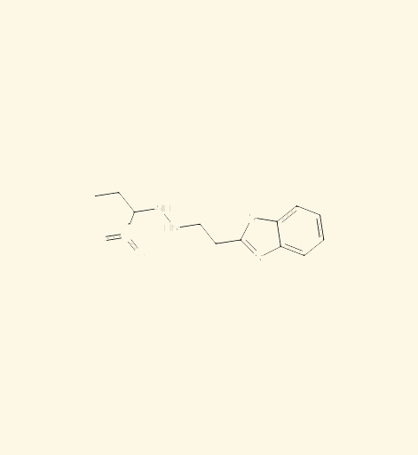 CCC(NNCCc1nc2ccccc2[nH]1)[SH](=O)=O